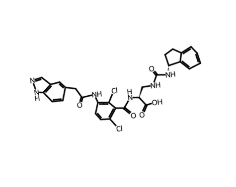 O=C(Cc1ccc2[nH]ncc2c1)Nc1ccc(Cl)c(C(=O)N[C@@H](CNC(=O)N[C@@H]2CCc3ccccc32)C(=O)O)c1Cl